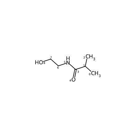 CC(C)C(=O)NCCO